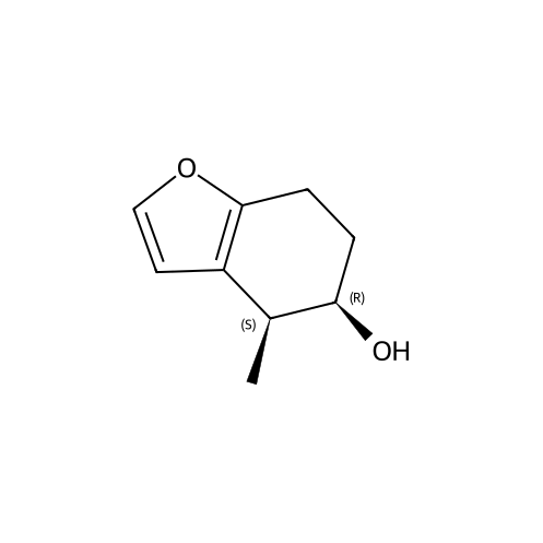 C[C@H]1c2ccoc2CC[C@H]1O